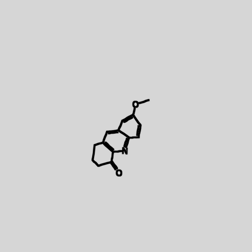 COc1ccc2nc3c(cc2c1)CCCC3=O